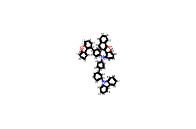 c1cc(-c2ccc(N(c3ccc(-c4cccc5oc6ccccc6c45)cc3)c3cccc4oc5c6ccccc6ccc5c34)cc2)cc(-n2c3ccccc3c3ccccc32)c1